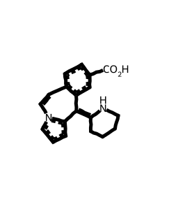 O=C(O)c1ccc2c(c1)C(=C1CCCCN1)c1cccn1C=C2